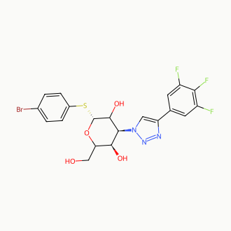 OCC1O[C@H](Sc2ccc(Br)cc2)C(O)[C@@H](n2cc(-c3cc(F)c(F)c(F)c3)nn2)[C@H]1O